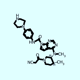 C[C@@H]1CCN(C(=O)CC#N)C[C@@H]1N(C)c1ncnc2c1ccn2C(=O)Nc1ccc(N2CCNCC2)cc1